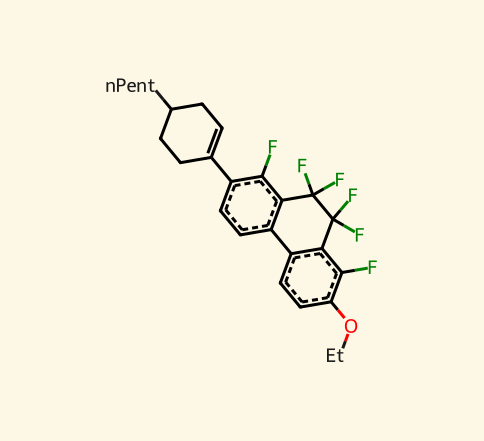 CCCCCC1CC=C(c2ccc3c(c2F)C(F)(F)C(F)(F)c2c-3ccc(OCC)c2F)CC1